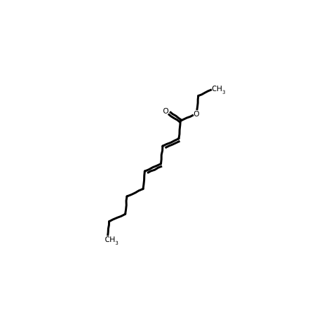 CCCCC/C=C/C=C/C(=O)OCC